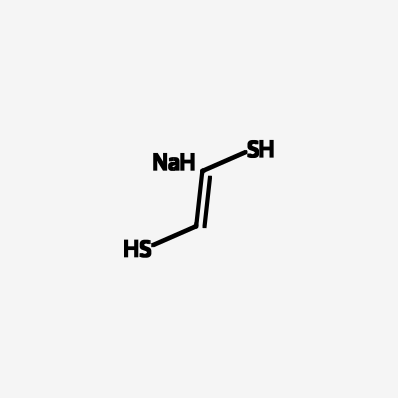 SC=CS.[NaH]